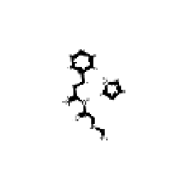 CCC=NCC(=O)OC(=N)CCc1ccccc1.c1ccoc1